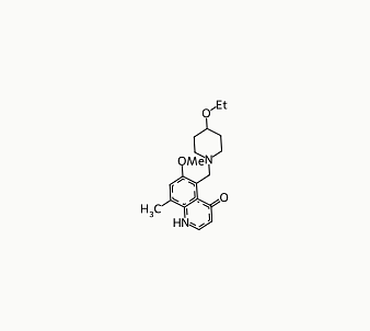 CCOC1CCN(Cc2c(OC)cc(C)c3[nH]ccc(=O)c23)CC1